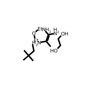 CC(N)=C(N)N.CCC(C)(C)C.CCOCC.OCCO